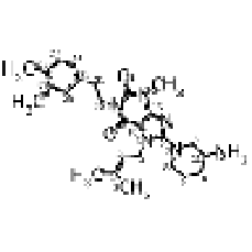 CC(C)=CCn1c(N2CCCC(N)C2)nc2c1c(=O)n(CCc1ccc(C)c(C)c1)c(=O)n2C